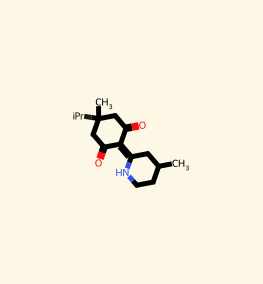 CC1CCNC(=C2C(=O)CC(C)(C(C)C)CC2=O)C1